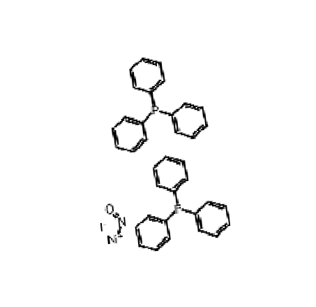 O=[N][Ni+].[I-].c1ccc(P(c2ccccc2)c2ccccc2)cc1.c1ccc(P(c2ccccc2)c2ccccc2)cc1